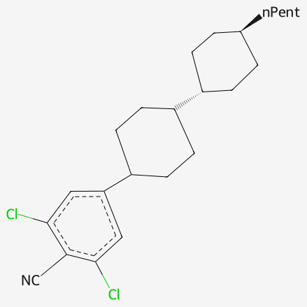 CCCCC[C@H]1CC[C@H](C2CCC(c3cc(Cl)c(C#N)c(Cl)c3)CC2)CC1